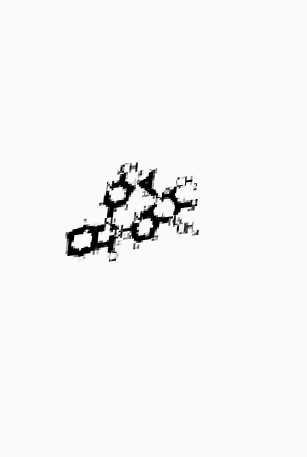 Cc1ccc(-n2c3ccccc3c(=O)n2-c2ccc3c(n2)N(C2CC2)C(C)C(=O)N3C)cn1